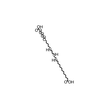 O=C(O)CCCCCCCCCCCNCCNCCNCCCCCOOOOOOC(=O)O